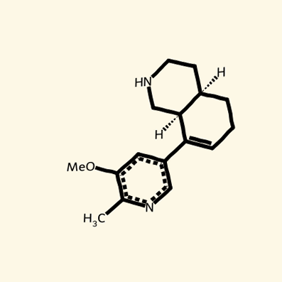 COc1cc(C2=CCC[C@@H]3CCNC[C@H]23)cnc1C